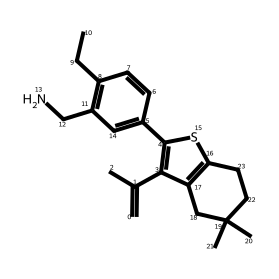 C=C(C)c1c(-c2ccc(CC)c(CN)c2)sc2c1CC(C)(C)CC2